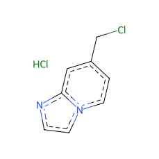 Cl.ClCc1ccn2ccnc2c1